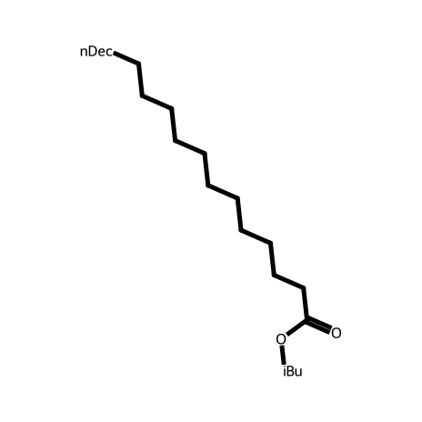 CCCCCCCCCCCCCCCCCCCCCC(=O)OC(C)CC